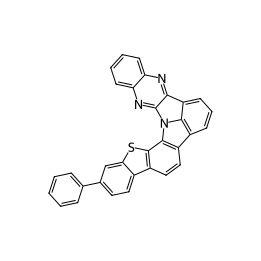 c1ccc(-c2ccc3c(c2)sc2c3ccc3c4cccc5c6nc7ccccc7nc6n(c45)c32)cc1